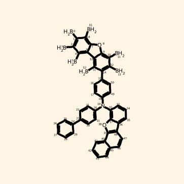 Bc1c(B)c(B)c2c(oc3c(B)c(B)c(-c4ccc(N(c5ccc(-c6ccccc6)cc5)c5cccc6c5oc5c7ccccc7ccc65)cc4)c(B)c32)c1B